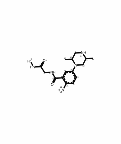 CC(C)NC(=O)CNC(=O)c1cc(N2CC(C)NCC2C)ccc1N